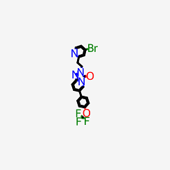 O=c1n(CCc2cc(Br)ccn2)nc2ccc(-c3ccc(OC(F)(F)F)cc3)cn12